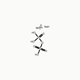 N.O=P(O)(O)OS(=O)(=O)O.[NaH].[NaH]